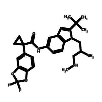 BC(CNC)Cn1c(C(C)(C)C)cc2cc(NC(=O)C3(c4ccc5c(c4)OC(F)(F)O5)CC3)ccc21